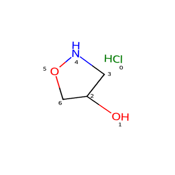 Cl.OC1CNOC1